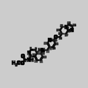 COC(=O)Nc1nccc2c(NCc3ccc(OCC4CCn5ccnc5C4)nc3)cccc12